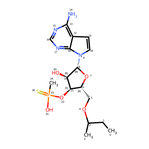 CCC(C)OC[C@H]1O[C@@H](n2ccc3c(N)ncnc32)[C@H](O)[C@@H]1OP(C)(O)=S